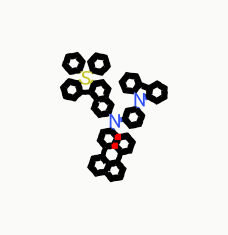 c1ccc(-c2cccc3cccc(-c4ccc(N(c5cccc(-n6c7ccccc7c7ccccc76)c5)c5ccc6c7c(ccc6c5)S(c5ccccc5)(c5ccccc5)c5ccccc5-7)cc4)c23)cc1